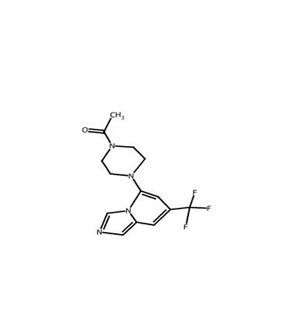 CC(=O)N1CCN(c2cc(C(F)(F)F)cc3cncn23)CC1